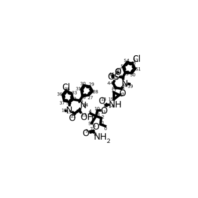 CCCC(C)(COC(N)=O)COC(=O)NC1CC1.CN1C(=O)C(O)N=C(c2ccccc2)c2cc(Cl)ccc21.CN1C(=O)CCS(=O)(=O)C1c1ccc(Cl)cc1